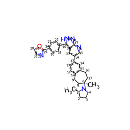 C[C@@H]1CCCN1[C@@]1(C)CCc2ccc(-c3cnc4n[nH]c(-c5ccc(-c6ncco6)cc5)c4c3)cc2CC1